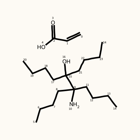 C=CC(=O)O.CCCCC(N)(CCCC)C(O)(CCCC)CCCC